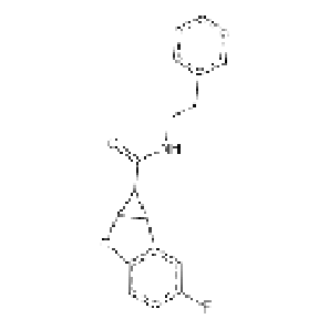 O=C(NCCc1ccccc1)C1C2Oc3ccc(F)cc3C21